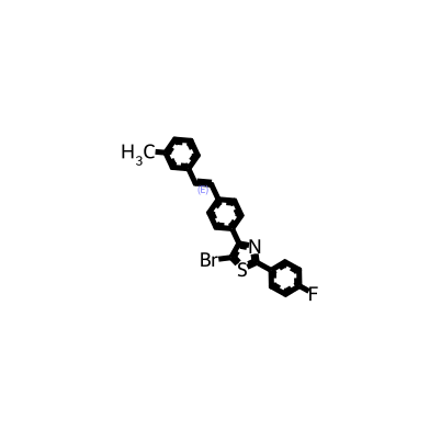 Cc1cccc(/C=C/c2ccc(-c3nc(-c4ccc(F)cc4)sc3Br)cc2)c1